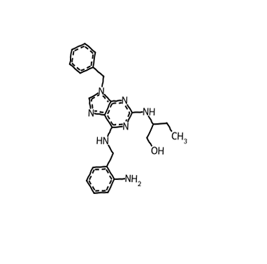 CCC(CO)Nc1nc(NCc2ccccc2N)c2ncn(Cc3ccccc3)c2n1